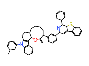 C=C1OC2c3c4c(n(C5=CC=CC(C)C5)c3CCC2CCCCC1c1cccc(C2=NC(C3C=CC=CC3)C3Sc5ccccc5C3=C2)c1)CCC=C4